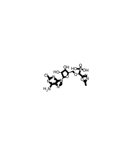 Cc1nnc([C@H](OC[C@H]2O[C@@H](n3cnc4c(N)nc(Cl)nc43)[C@H](O)[C@@H]2O)P(=O)(O)O)o1